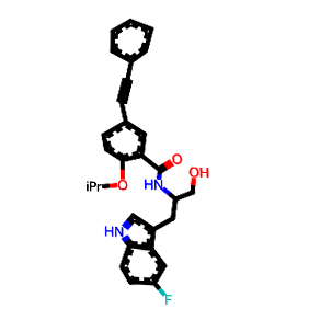 CC(C)Oc1ccc(C#Cc2ccccc2)cc1C(=O)NC(CO)Cc1c[nH]c2ccc(F)cc12